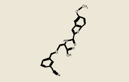 COc1ccc2oc(C(=O)NC(COCc3cccc(C#N)c3)C(=O)O)cc2c1